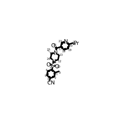 Cc1cc(C#N)ccc1S(=O)(=O)N1CCN(C(=O)c2ccc(C(C)C)nc2)[C@@H](C)C1